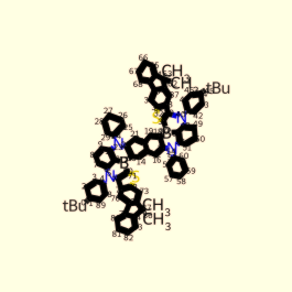 CC(C)(C)c1ccc(N2c3cccc4c3B(c3cc5cc6c(cc5cc3N4c3ccccc3)B3c4sc5cc7c(cc5c4N(c4ccc(C(C)(C)C)cc4)c4cccc(c43)N6c3ccccc3)C(C)(C)c3ccccc3-7)c3sc4cc5c(cc4c32)-c2ccccc2C5(C)C)cc1